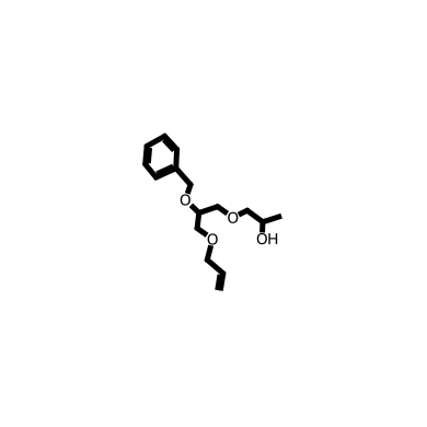 C=CCOCC(COCC(C)O)OCc1ccccc1